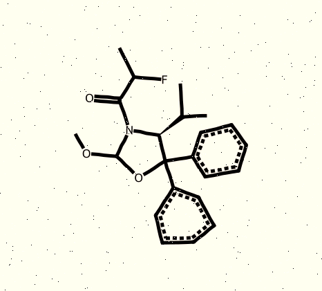 COC1OC(c2ccccc2)(c2ccccc2)[C@H](C(C)C)N1C(=O)C(C)F